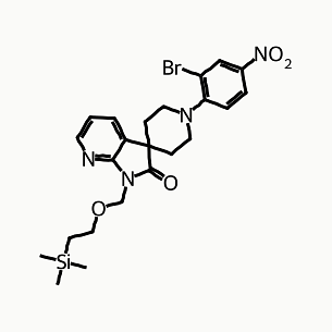 C[Si](C)(C)CCOCN1C(=O)C2(CCN(c3ccc([N+](=O)[O-])cc3Br)CC2)c2cccnc21